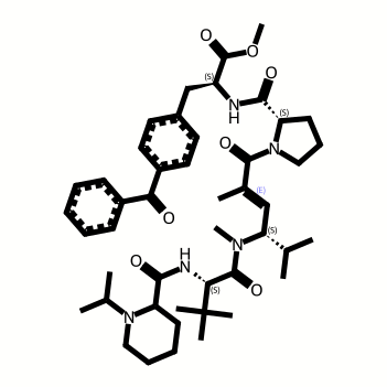 COC(=O)[C@H](Cc1ccc(C(=O)c2ccccc2)cc1)NC(=O)[C@@H]1CCCN1C(=O)/C(C)=C/[C@H](C(C)C)N(C)C(=O)[C@@H](NC(=O)C1CCCCN1C(C)C)C(C)(C)C